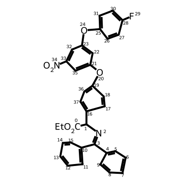 CCOC(=O)C(N=C(c1ccccc1)c1ccccc1)c1ccc(Oc2cc(Oc3ccc(F)cc3)cc([N+](=O)[O-])c2)cc1